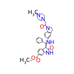 CCOC(=O)c1ccc2c(c1)NC(=O)/C2=C(\Nc1ccc2c(c1)CCN2C(=O)CN1CCN(C)CC1)c1ccccc1